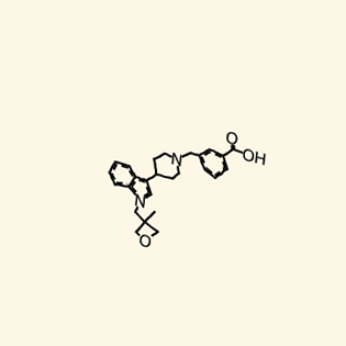 CC1(Cn2cc(C3CCN(Cc4cccc(C(=O)O)c4)CC3)c3ccccc32)COC1